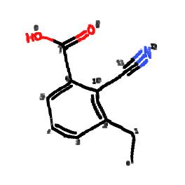 CCc1cccc(C(=O)O)c1C#N